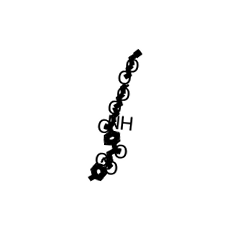 C#CCOCCOCCOCCOCCNC(=O)c1ccc(C(=O)CCS(=O)(=O)c2ccc(C)cc2)cc1